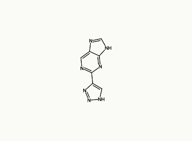 c1nc2cnc(-c3c[nH]nn3)nc2[nH]1